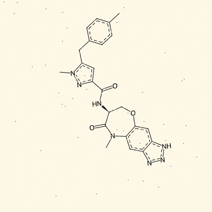 Cc1ccc(Cc2cc(C(=O)N[C@H]3COc4cc5[nH]nnc5cc4N(C)C3=O)nn2C)cc1